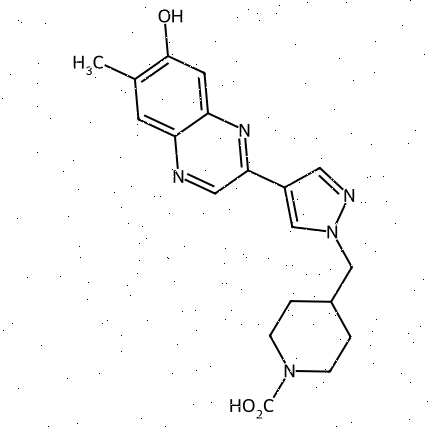 Cc1cc2ncc(-c3cnn(CC4CCN(C(=O)O)CC4)c3)nc2cc1O